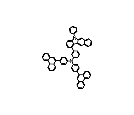 C1=CC2C(c3ccc(N(c4ccc(-c5cc6ccccc6c6ccccc56)cc4)c4cccc(-c5cccc6c5c5cc7ccccc7cc5n6-c5ccccc5)c4)cc3)=Cc3ccccc3C2C=C1